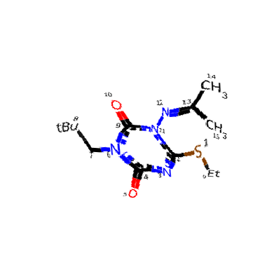 CCSc1nc(=O)n(CC(C)(C)C)c(=O)n1N=C(C)C